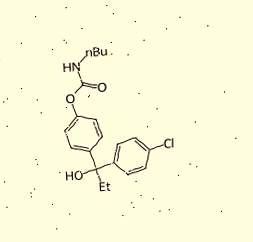 CCCCNC(=O)Oc1ccc(C(O)(CC)c2ccc(Cl)cc2)cc1